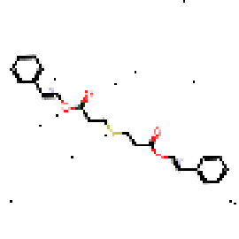 O=C(CCSCCC(=O)O/C=C/c1ccccc1)O/C=C/c1ccccc1